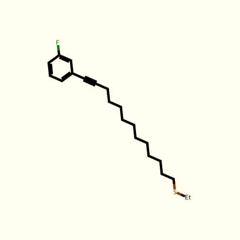 CCSCCCCCCCCCCCC#Cc1cccc(F)c1